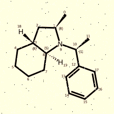 C[C@@H]1C[C@H]2CCCC[C@@H]2N1[C@@H](C)c1ccccc1